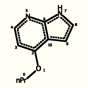 CCCOc1ccnc2[nH]ccc12